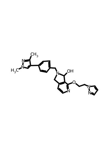 Cc1nn(C)cc1-c1ccc(CN2Cc3ccnc(OCCn4cccn4)c3C2O)cc1